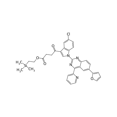 C[Si](C)(C)CCOC(=O)CCC(=O)c1cn(-c2nc(-c3ccccn3)c3cc(-c4ccco4)ccc3n2)c2ccc(Cl)cc12